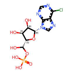 O=P(O)(O)OC(O)[C@H]1O[C@@H](n2cnc3c(Cl)ncnc32)[C@H](O)[C@@H]1O